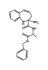 CC(NC(=O)C1(N)CC=Cc2ccccc2N1)C(=O)OCc1ccccc1